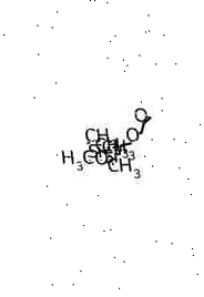 C=C[Si](C)(C)O[Si](C)(C)CCCOCC1CO1